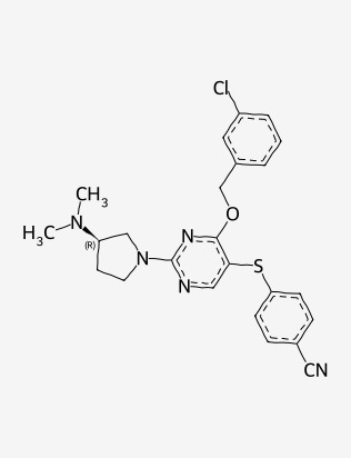 CN(C)[C@@H]1CCN(c2ncc(Sc3ccc(C#N)cc3)c(OCc3cccc(Cl)c3)n2)C1